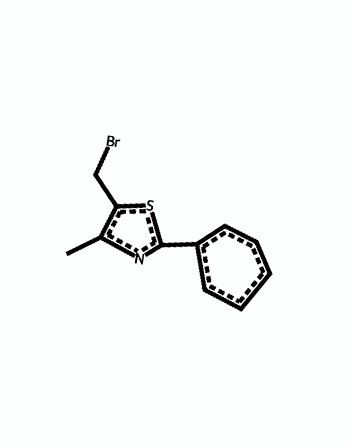 Cc1nc(-c2ccccc2)sc1CBr